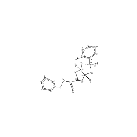 O=C(OCc1ccccc1)N1C[C@H]2CC(O)(c3cccnc3F)C[C@@H]2C1